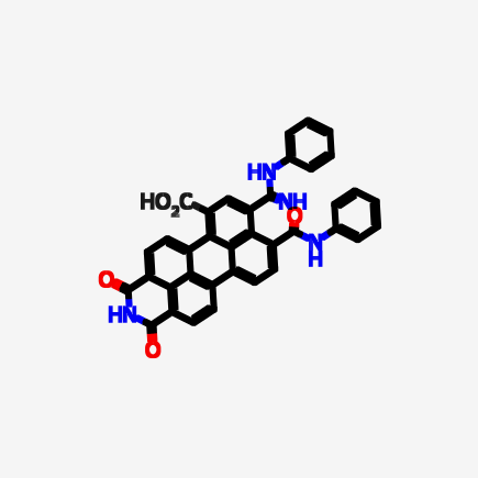 N=C(Nc1ccccc1)c1cc(C(=O)O)c2c3ccc4c5c(ccc(c6ccc(C(=O)Nc7ccccc7)c1c62)c53)C(=O)NC4=O